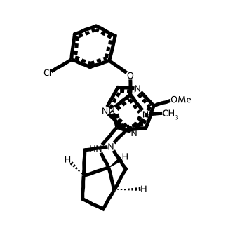 COc1cc(N2C[C@H]3CC[C@@H](C2)[C@@H]3Nc2nc(Oc3cccc(Cl)c3)n(C)n2)ncn1